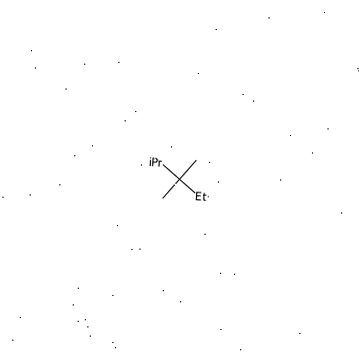 C[CH]C(C)(C)C(C)C